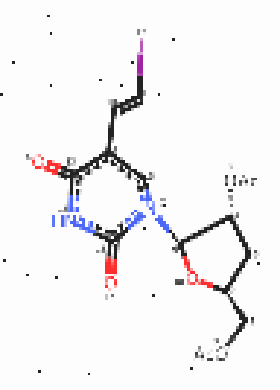 CC(=O)OC[C@@H]1C[C@@H](OC(C)=O)[C@H](n2cc(C=CI)c(=O)[nH]c2=O)O1